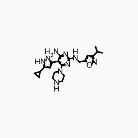 CC(C)c1cc(CNc2nc(N)c(-c3cc(C4CC4)[nH]n3)c(N3CCNCC3)n2)on1